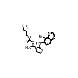 CCCCOC(=O)OC(C)N1CCN=C1Nc1ccc2nccnc2c1Br